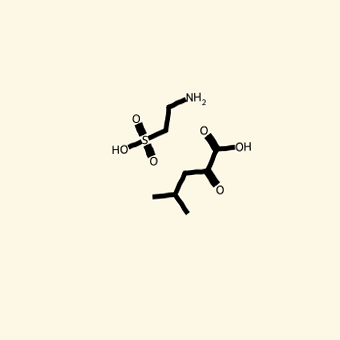 CC(C)CC(=O)C(=O)O.NCCS(=O)(=O)O